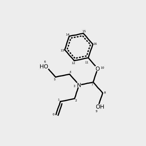 C=CCN(CCO)C(CO)Oc1ccccc1